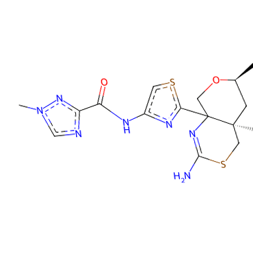 C[C@H]1C[C@H]2CSC(N)=NC2(c2nc(NC(=O)c3ncn(C)n3)cs2)CO1